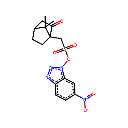 CC1(C)C2CCC1(CS(=O)(=O)On1nnc3ccc([N+](=O)[O-])cc31)C(=O)C2